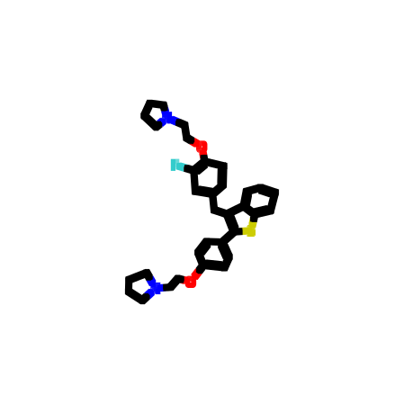 Fc1cc(Cc2c(-c3ccc(OCCN4CCCC4)cc3)sc3ccccc23)ccc1OCCN1CCCC1